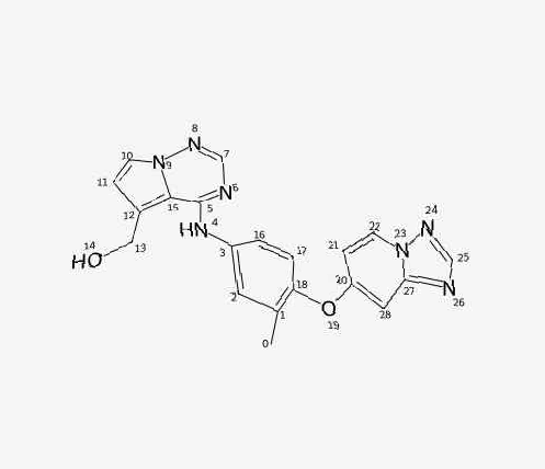 Cc1cc(Nc2ncnn3ccc(CO)c23)ccc1Oc1ccn2ncnc2c1